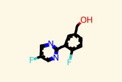 OCc1ccc(F)c(-c2ncc(F)cn2)c1